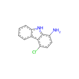 Nc1ccc(Cl)c2c1[nH]c1ccccc12